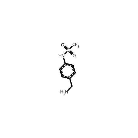 NCc1ccc(NS(=O)(=O)C(F)(F)F)cc1